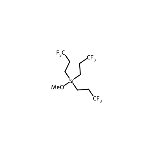 CO[Si](CCC(F)(F)F)(CCC(F)(F)F)CCC(F)(F)F